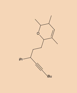 CCC(C)C#CC(CCC1OC(C)C(C)C=C1C)C(C)C